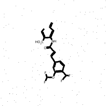 C=C/C=C(NC(=O)/C=C/c1ccc(C(F)F)c(OC(F)F)c1)\C(=C/C)C(=O)O